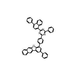 c1ccc(-c2cc(-c3ccc(-c4nc(-c5ccccc5)nc(-c5ccc(-c6ccccc6)c6ccccc56)n4)cc3)c3oc4cc5ccccc5cc4c3c2)cc1